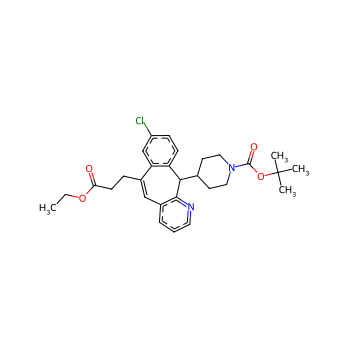 CCOC(=O)CCC1=Cc2cccnc2C(C2CCN(C(=O)OC(C)(C)C)CC2)c2ccc(Cl)cc21